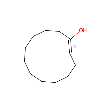 O/C1=C\CCCCCCCCCC1